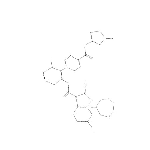 CN1CCC(NC(=O)C2CCN(C3C(F)CNCC3NC(=O)C3C(N)N[N+]4(C5CCCCCC5)CC(F)CNC34)CC2)C1